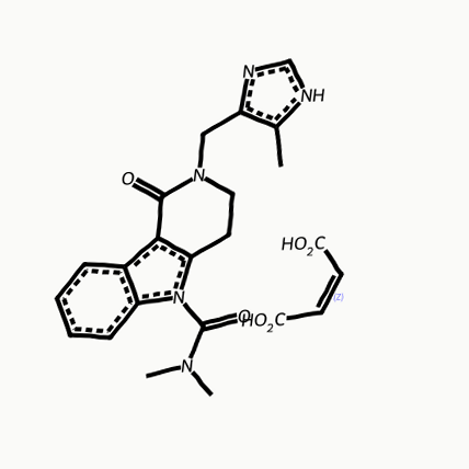 Cc1[nH]cnc1CN1CCc2c(c3ccccc3n2C(=O)N(C)C)C1=O.O=C(O)/C=C\C(=O)O